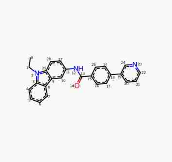 CCn1c2ccccc2c2cc(NC(=O)c3ccc(-c4cccnc4)cc3)ccc21